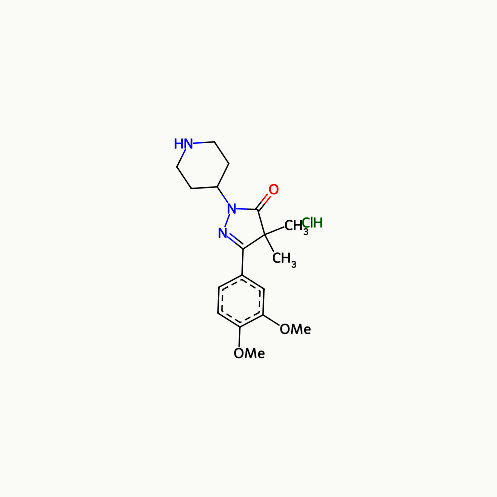 COc1ccc(C2=NN(C3CCNCC3)C(=O)C2(C)C)cc1OC.Cl